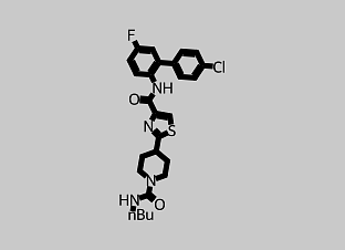 CCCCNC(=O)N1CCC(c2nc(C(=O)Nc3ccc(F)cc3-c3ccc(Cl)cc3)cs2)CC1